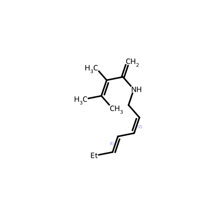 C=C(NC/C=C\C=C\CC)C(C)=C(C)C